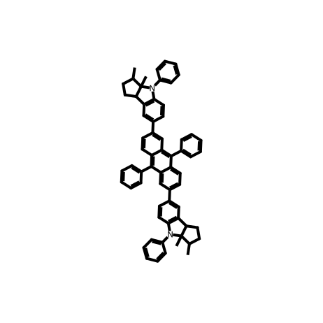 CC1CCC2c3cc(-c4ccc5c(-c6ccccc6)c6cc(-c7ccc8c(c7)C7CCC(C)C7(C)N8c7ccccc7)ccc6c(-c6ccccc6)c5c4)ccc3N(c3ccccc3)C12C